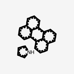 c1cc2cccc3c4cccc5cccc(c(c1)c23)c54.c1cc[nH]c1